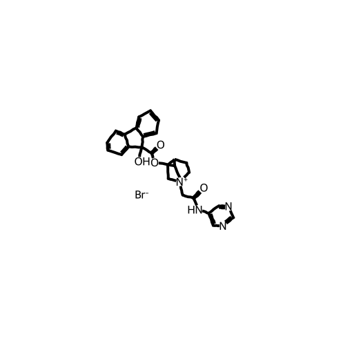 O=C(C[N+]12CCC(CC1)C(OC(=O)C1(O)c3ccccc3-c3ccccc31)C2)Nc1cncnc1.[Br-]